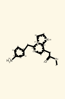 COC(=O)Cc1cnc(Cc2ccc(N)cc2)n2ccnc12